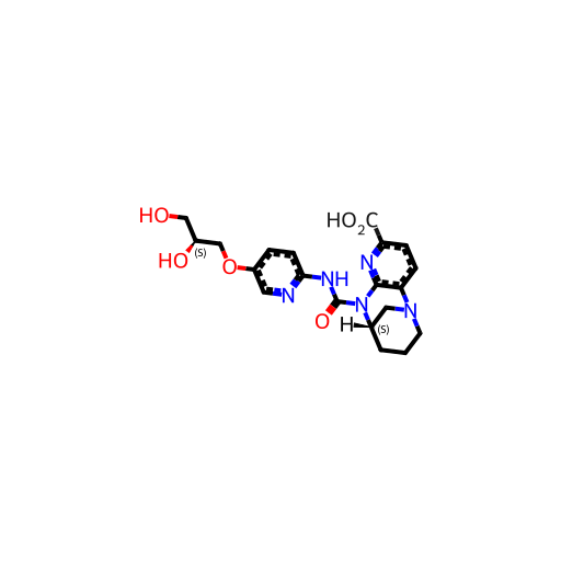 O=C(O)c1ccc2c(n1)N(C(=O)Nc1ccc(OC[C@@H](O)CO)cn1)[C@H]1CCCN2C1